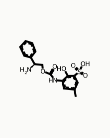 Cc1cc(NC(=O)OC[C@@H](N)c2ccccc2)c(O)c(S(=O)(=O)O)c1